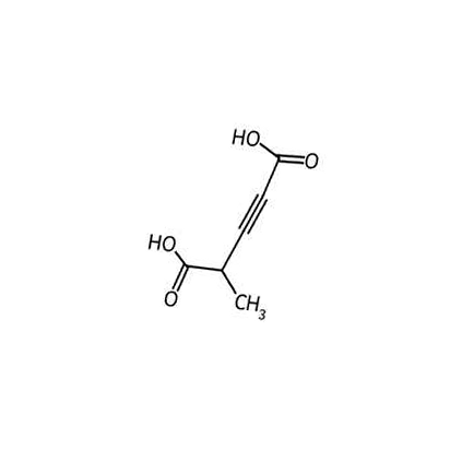 CC(C#CC(=O)O)C(=O)O